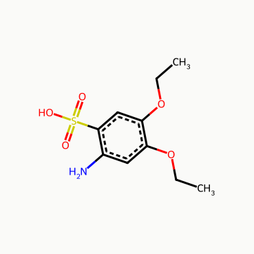 CCOc1cc(N)c(S(=O)(=O)O)cc1OCC